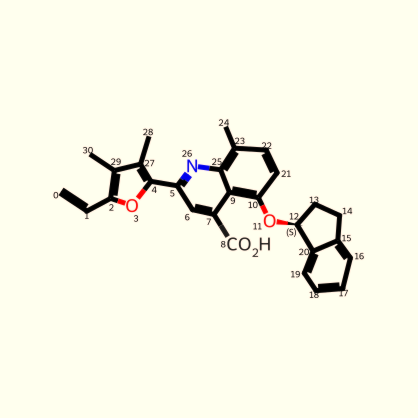 C=Cc1oc(-c2cc(C(=O)O)c3c(O[C@H]4CCc5ccccc54)ccc(C)c3n2)c(C)c1C